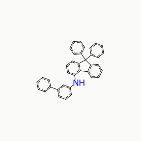 c1ccc(-c2cccc(Nc3cccc4c3-c3ccccc3C4(c3ccccc3)c3ccccc3)c2)cc1